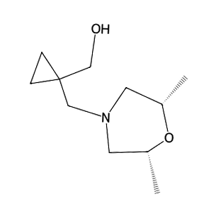 C[C@@H]1CN(CC2(CO)CC2)C[C@H](C)O1